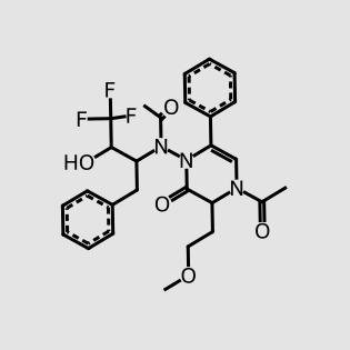 COCCC1C(=O)N(N(C(C)=O)C(Cc2ccccc2)C(O)C(F)(F)F)C(c2ccccc2)=CN1C(C)=O